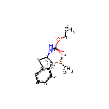 CCOC(=O)N[C@@H]1Cc2ccccc2[C@H]1SC